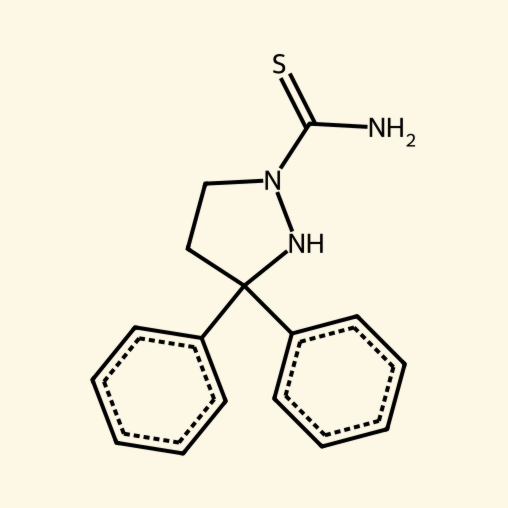 NC(=S)N1CCC(c2ccccc2)(c2ccccc2)N1